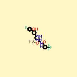 C[C@H](CC(=N)C1CCC(O)(c2ccc(F)cc2)CC1)NC(=O)CNC(=O)c1cccc(C(F)(F)F)c1